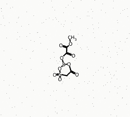 COC(=O)C(=O)OB1OC(=O)CS(=O)(=O)O1